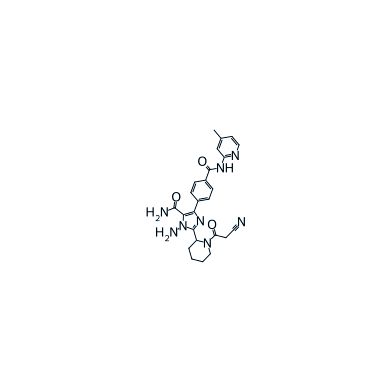 Cc1ccnc(NC(=O)c2ccc(-c3nc(C4CCCCN4C(=O)CC#N)n(N)c3C(N)=O)cc2)c1